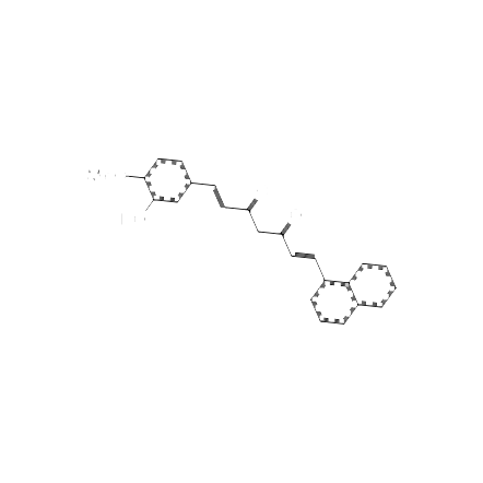 COc1ccc(/C=C/C(=O)CC(=O)/C=C/c2cccc3ccccc23)cc1O